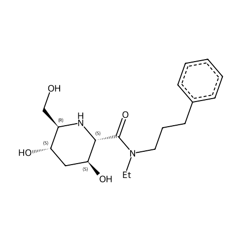 CCN(CCCc1ccccc1)C(=O)[C@H]1N[C@H](CO)[C@@H](O)C[C@@H]1O